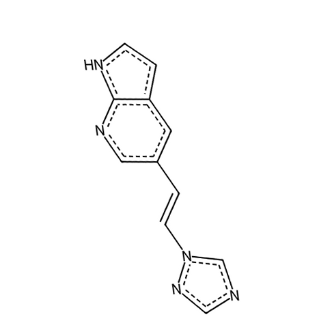 C(=Cn1cncn1)c1cnc2[nH]ccc2c1